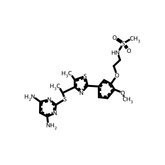 COc1ccc(-c2nc(C(C)Sc3nc(N)cc(N)n3)c(C)s2)cc1OCCNS(C)(=O)=O